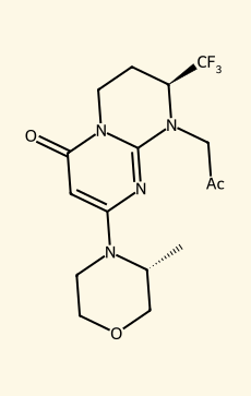 CC(=O)CN1c2nc(N3CCOC[C@H]3C)cc(=O)n2CC[C@H]1C(F)(F)F